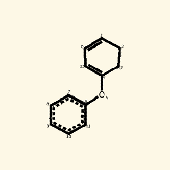 C1=CCCC(Oc2ccccc2)=C1